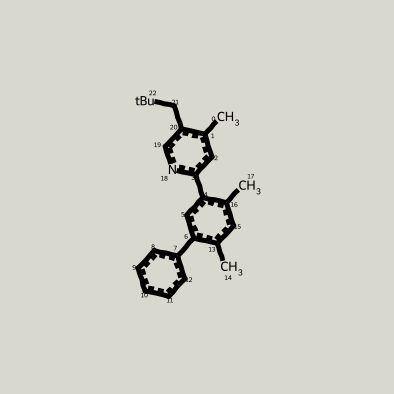 Cc1cc(-c2cc(-c3ccccc3)c(C)cc2C)ncc1CC(C)(C)C